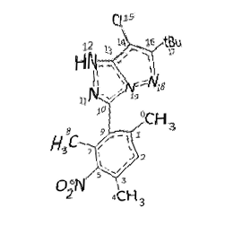 Cc1cc(C)c([N+](=O)[O-])c(C)c1-c1n[nH]c2c(Cl)c(C(C)(C)C)nn12